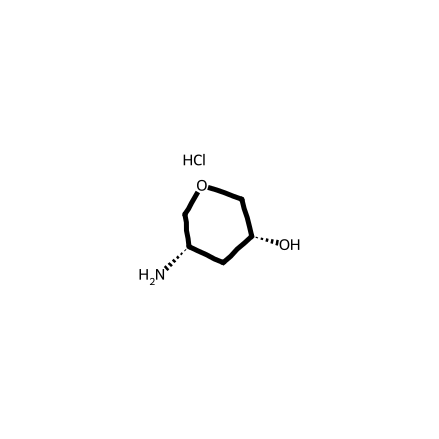 Cl.N[C@@H]1COC[C@H](O)C1